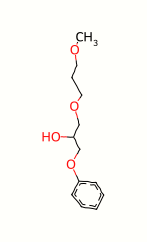 COCCCOCC(O)COc1ccccc1